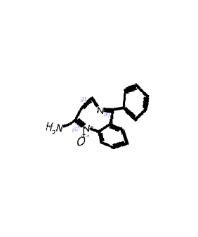 NC1=[N+](\[O-])c2ccccc2/C(c2ccccc2)=N/C=C\1